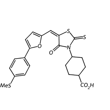 CSc1ccc(-c2ccc(C=C3SC(=S)N(C4CCC(C(=O)O)CC4)C3=O)o2)cc1